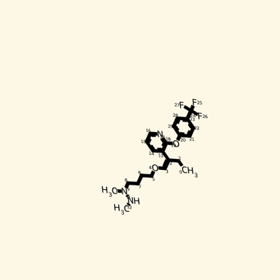 CC/C(=C/OCCCCN(C)NC)c1cccnc1Oc1ccc(C(F)(F)F)cc1